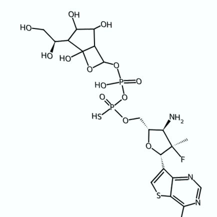 C[C@@]1(F)[C@H](N)[C@@H](COP(=O)(S)OP(=O)(O)OC2OC3(O)C2C(O)C(O)C3[C@@H](O)CO)O[C@H]1c1csc2c(N)ncnc12